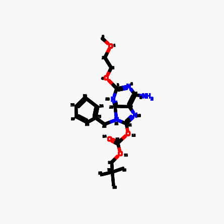 COCCOc1nc(N)c2nc(OC(=O)OCC(C)(C)C)n(Cc3ccccc3)c2n1